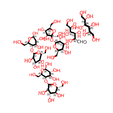 O=C[C@H](O)[C@@H](O)[C@H](O)[C@H](O)CO.OC[C@@H](O)[C@@H](O)[C@H](O)[C@@H](O)CO.OC[C@H]1O[C@@H](O[C@H]2[C@H](O)[C@@H](O)[C@H](O)O[C@@H]2CO)[C@H](O)[C@@H](O)[C@H]1O.OC[C@H]1O[C@@](CO)(O[C@H]2O[C@H](CO)[C@@H](O)[C@H](O)[C@H]2O)[C@@H](O)[C@@H]1O.OC[C@H]1O[C@H](O[C@H]2[C@H](O)[C@@H](O)[C@H](O)O[C@@H]2CO)[C@H](O)[C@@H](O)[C@@H]1O